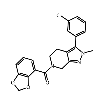 Cn1nc2c(c1-c1cccc(Cl)c1)CCN(C(=O)c1cccc3c1OCO3)C2